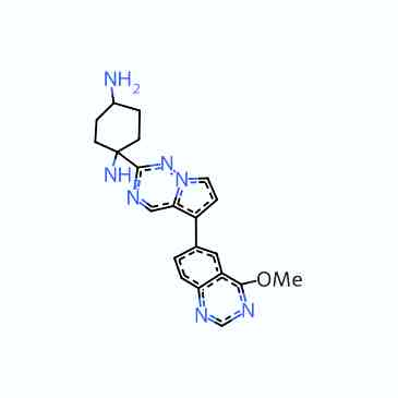 COc1ncnc2ccc(-c3ccn4nc(C5(N)CCC(N)CC5)ncc34)cc12